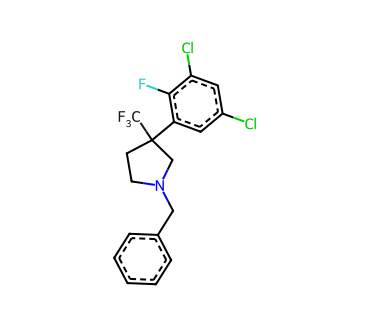 Fc1c(Cl)cc(Cl)cc1C1(C(F)(F)F)CCN(Cc2ccccc2)C1